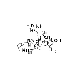 Cc1cc(O)cc(C)c1CC(NC(=O)C(CCNC(=N)N)N(C)C)C(=O)N[C@@H](Cc1c[nH]cn1)c1nc(CC23CC4CC(CC(C4)C2)C3)no1